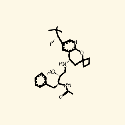 CC(=O)N[C@@H](Cc1ccccc1)[C@H](O)CN[C@H]1CC2(CCC2)Oc2ncc([C@H](F)C(C)(C)C)cc21